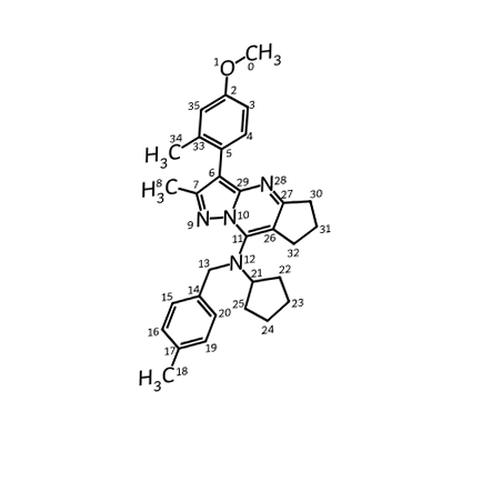 COc1ccc(-c2c(C)nn3c(N(Cc4ccc(C)cc4)C4CCCC4)c4c(nc23)CCC4)c(C)c1